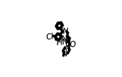 CN1CCN(C(=O)N2C=C3CN=C(c4ccccc4)c4cc(Cl)ccc4N3N2)CC1